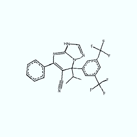 CC(C)C1(c2cc(C(F)(F)F)cc(C(F)(F)F)c2)C(C#N)=C(c2ccccc2)N=C2NC=NN21